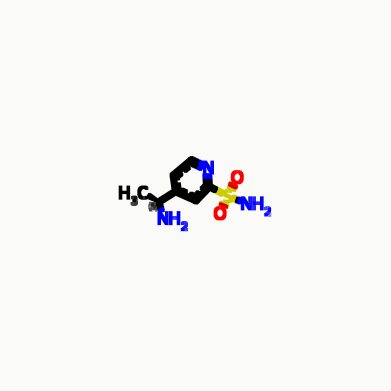 C[C@H](N)c1ccnc(S(N)(=O)=O)c1